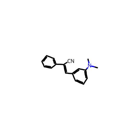 CN(C)c1cccc(/C=C(\C#N)c2ccccc2)c1